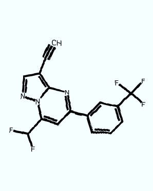 C#Cc1cnn2c(C(F)F)cc(-c3cccc(C(F)(F)F)c3)nc12